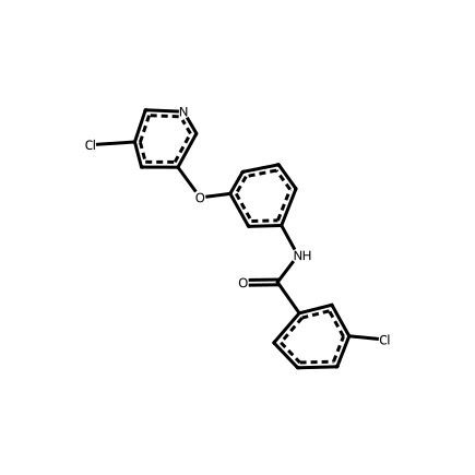 O=C(Nc1cccc(Oc2cncc(Cl)c2)c1)c1cccc(Cl)c1